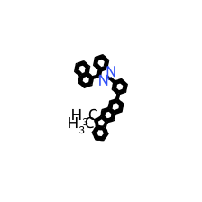 CC1(C)c2ccccc2-c2cc3ccc(-c4cccc(-c5nc(-c6cccc7ccccc67)c6ccccc6n5)c4)cc3cc21